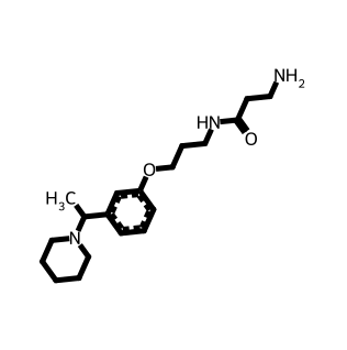 CC(c1cccc(OCCCNC(=O)CCN)c1)N1CCCCC1